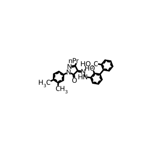 CCCC1=NN(c2ccc(C)c(C)c2)C(=O)C1=NNc1cccc(-c2ccccc2C(=O)O)c1O